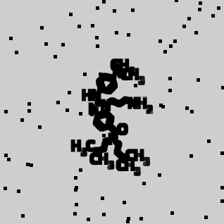 CC(C)CCN(CCC(C)C)C(=O)c1ccc2nc(Nc3ccc(N(C)C)cc3)n(CCCN)c2c1